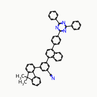 CC1(C)c2ccccc2-c2c(-c3cc(C#N)cc(-c4ccc(-c5ccc(-c6nc(-c7ccccc7)nc(-c7ccccc7)n6)cc5)c5ccccc45)c3)cccc21